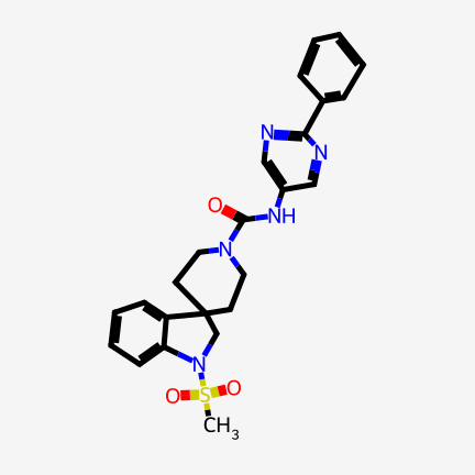 CS(=O)(=O)N1CC2(CCN(C(=O)Nc3cnc(-c4ccccc4)nc3)CC2)c2ccccc21